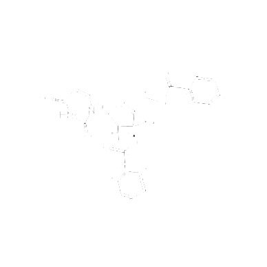 C[C@]1(F)[C@H](n2ccc(=O)[nH]c2=O)O[C@@]2(COC(=O)c3ccccc3)C[C@@]21OC(=O)c1ccccc1